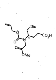 C=CCOC(=O)N(CC(=O)OC)[C@H](CCC(=O)O)CC(C)(C)C